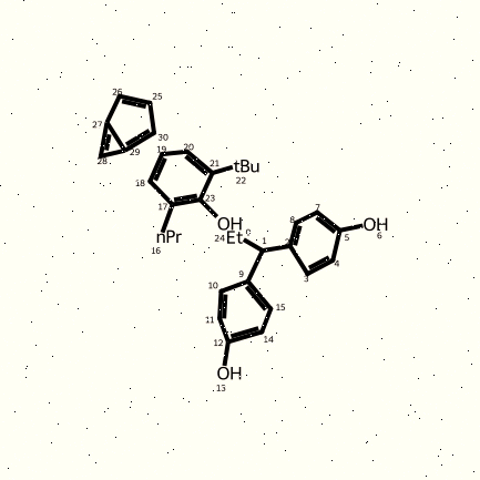 CCC(c1ccc(O)cc1)c1ccc(O)cc1.CCCc1cccc(C(C)(C)C)c1O.c1cc2cc-2c1